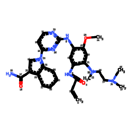 C=CC(=O)Nc1cc(Nc2nccc(-n3cc(C(N)=O)c4ccccc43)n2)c(OC)cc1N(C)CCN(C)C